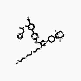 COCCOCCOCCOc1nn(C2CCC(N3[C@@H]4CC[C@H]3COC4)CC2)cc1Nc1ncc(-c2ccc(C#N)c(OC(C)Cn3cncn3)c2)cn1